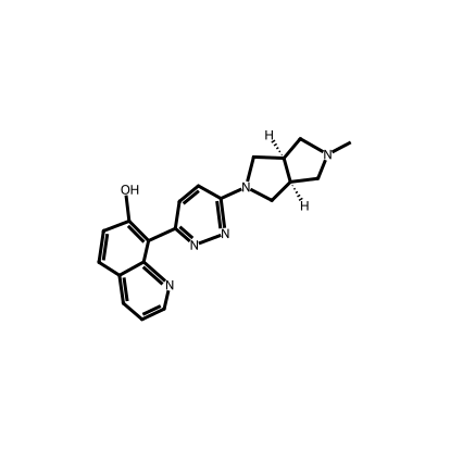 CN1C[C@@H]2CN(c3ccc(-c4c(O)ccc5cccnc45)nn3)C[C@@H]2C1